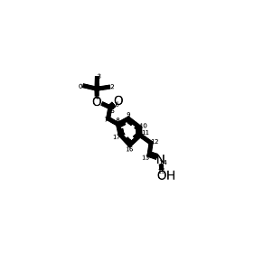 CC(C)(C)OC(=O)Cc1ccc(CC=NO)cc1